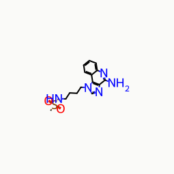 CS(=O)(=O)NCCCCn1cnc2c(N)nc3ccccc3c21